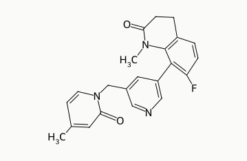 Cc1ccn(Cc2cncc(-c3c(F)ccc4c3N(C)C(=O)CC4)c2)c(=O)c1